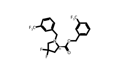 O=C(OCc1cccc(C(F)(F)F)c1)[C@H]1CC(F)(F)CN1Cc1cccc(C(F)(F)F)c1